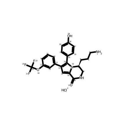 Cl.NCCC[C@H]1CNC(=O)c2cc(-c3cccc(OC(F)(F)F)c3)c(-c3ccc(O)cc3)n21